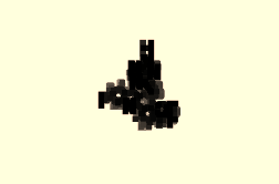 Fc1ccc2cc(C3CCCN3c3ncnc4[nH]cnc34)c(-c3cccc(OC(F)(F)F)c3)nc2c1